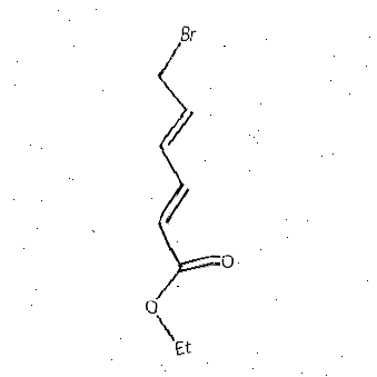 CCOC(=O)C=CC=CCBr